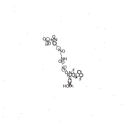 C#Cc1c(F)ccc2cccc(-c3ncc4c(N5CC6CC(C(C)(C)C)C(C5)N6C(=O)O)nc(OC[C@@]56CCCN5[C@H](COC(=O)NCCCC(=O)N5CCC(c7ccc8c(c7)n(C)c(=O)n8C7CCC(=O)NC7=O)CC5)CC6)nc4c3F)c12